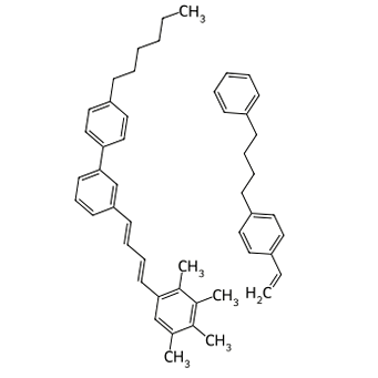 C=Cc1ccc(CCCCc2ccccc2)cc1.CCCCCCc1ccc(-c2cccc(C=CC=Cc3cc(C)c(C)c(C)c3C)c2)cc1